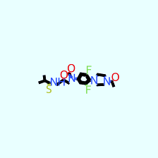 CC(=O)N1CCN(c2c(F)cc(N3CC(CNC(=S)C(C)C)OC3=O)cc2F)CC1